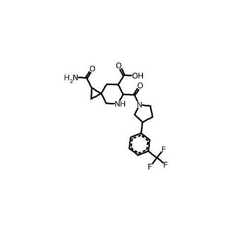 NC(=O)C1CC12CNC(C(=O)N1CCC(c3cccc(C(F)(F)F)c3)C1)C(C(=O)O)C2